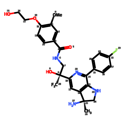 COc1cc(C(=O)NC[C@](O)(c2cc3c(c(-c4ccc(F)cc4)n2)NC[C@@]3(C)N)C(F)(F)F)ccc1OCCO